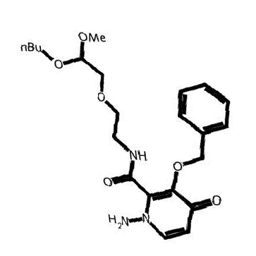 CCCCOC(COCCNC(=O)c1c(OCc2ccccc2)c(=O)ccn1N)OC